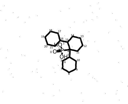 O=P(O)(O)C1(C2CCCCC2)CCCCC1C1CCCCC1